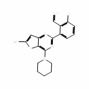 Cc1cccc(-c2nc(N3CCCCC3)c3sc(C(C)C)cc3n2)c1C=N